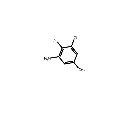 Cc1cc(N)c(C(C)C)c(Cl)c1